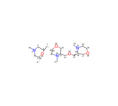 C[C@@H]1CN(C)CC(C[C@H]2CN(C)C(COC[C@@H]3COCCN3C)CO2)O1